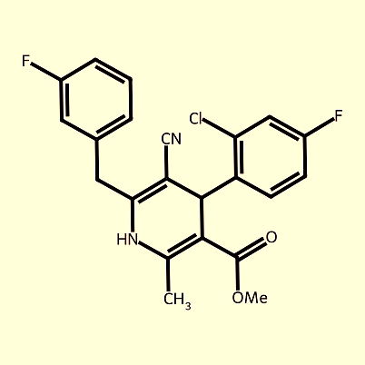 COC(=O)C1=C(C)NC(Cc2cccc(F)c2)=C(C#N)C1c1ccc(F)cc1Cl